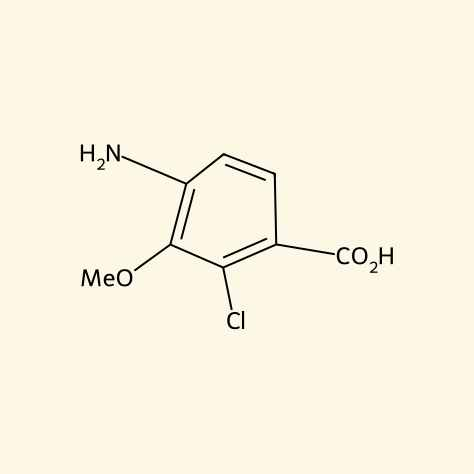 COc1c(N)ccc(C(=O)O)c1Cl